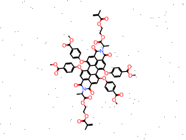 C=C(C)C(=O)OCCOC(=O)C(C)N1C(=O)c2cc(Oc3ccc(C(=O)OC)cc3)c3c4c(Oc5ccc(C(=O)OC)cc5)cc5c6c(cc(Oc7ccc(C(=O)OC)cc7)c(c7c(Oc8ccc(C(=O)OC)cc8)cc(c2c37)C1=O)c64)C(=O)N(C(C)C(=O)OCCOC(=O)C(=C)C)C5=O